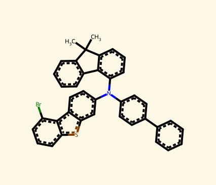 CC1(C)c2ccccc2-c2c(N(c3ccc(-c4ccccc4)cc3)c3ccc4c(c3)sc3cccc(Br)c34)cccc21